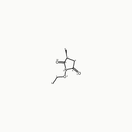 CCON1C(=O)C[C@H](C)C1=O